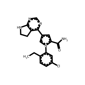 CCc1ccc(Cl)cc1-n1cc(-c2ncnc3c2CCN3)cc1C(N)=O